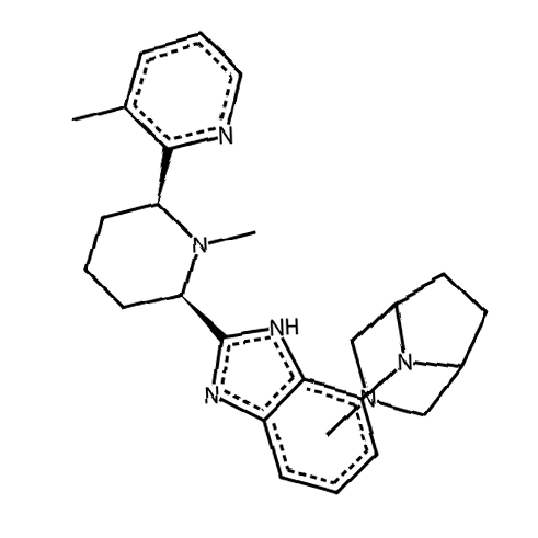 Cc1cccnc1[C@@H]1CCC[C@H](c2nc3cccc(N4C5CCC4CN(C)C5)c3[nH]2)N1C